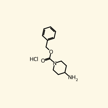 Cl.NC1CCN(C(=O)OCc2ccccc2)CC1